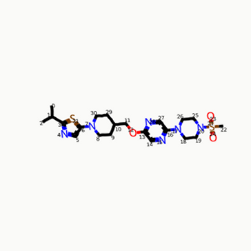 CC(C)c1ncc(N2CCC(COc3cnc(N4CCN(S(C)(=O)=O)CC4)cn3)CC2)s1